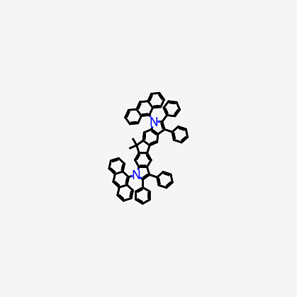 CC1(C)c2cc3c(cc2-c2cc4c(-c5ccccc5)c(-c5ccccc5)n(-c5c6ccccc6cc6ccccc56)c4cc21)c(-c1ccccc1)c(-c1ccccc1)n3-c1c2ccccc2cc2ccccc12